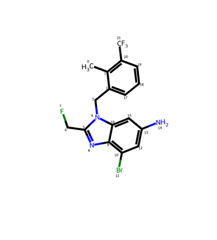 Cc1c(Cn2c(CF)nc3c(Br)cc(N)cc32)cccc1C(F)(F)F